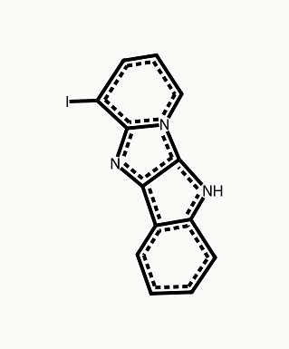 Ic1cccn2c1nc1c3ccccc3[nH]c12